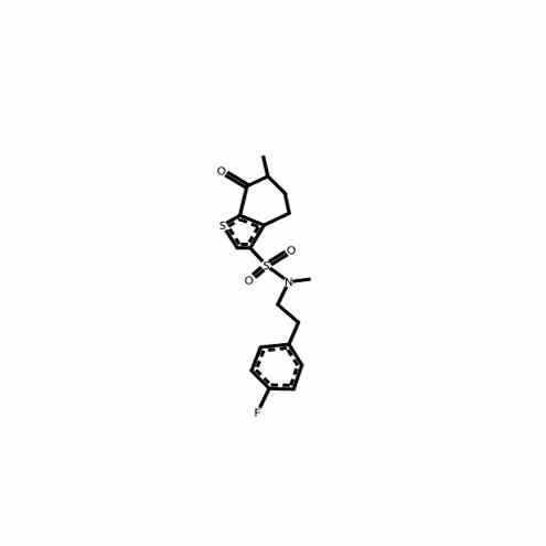 CC1CCc2c(S(=O)(=O)N(C)CCc3ccc(F)cc3)csc2C1=O